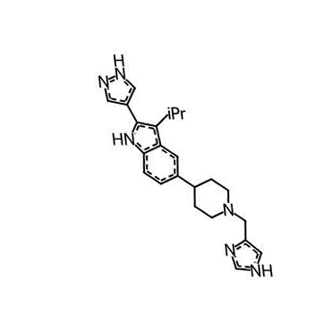 CC(C)c1c(-c2cn[nH]c2)[nH]c2ccc(C3CCN(Cc4c[nH]cn4)CC3)cc12